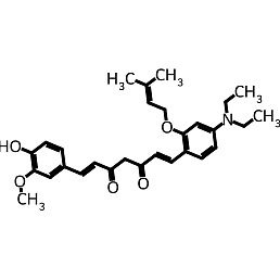 CCN(CC)c1ccc(/C=C/C(=O)CC(=O)/C=C/c2ccc(O)c(OC)c2)c(OCC=C(C)C)c1